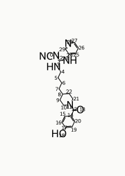 N#C/N=C(\NCCCCC1CCN(C(=O)c2ccc(O)cc2)CC1)Nc1cccnc1